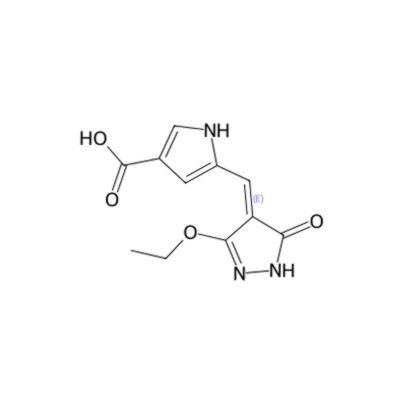 CCOC1=NNC(=O)/C1=C/c1cc(C(=O)O)c[nH]1